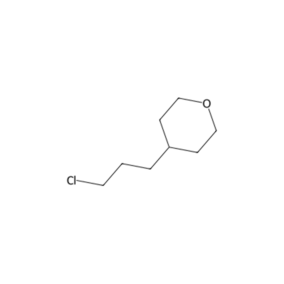 ClCCCC1CCOCC1